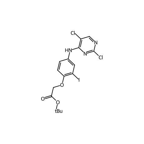 CC(C)(C)OC(=O)COc1ccc(Nc2nc(Cl)ncc2Cl)cc1I